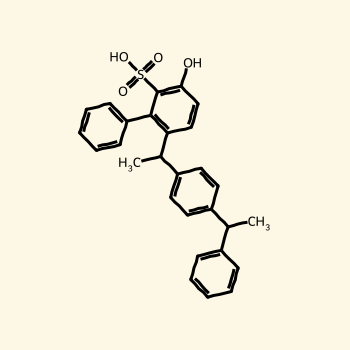 CC(c1ccccc1)c1ccc(C(C)c2ccc(O)c(S(=O)(=O)O)c2-c2ccccc2)cc1